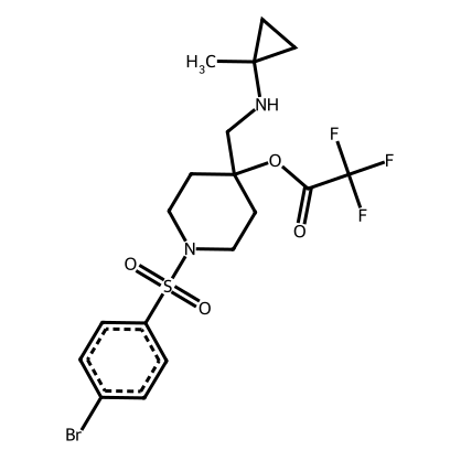 CC1(NCC2(OC(=O)C(F)(F)F)CCN(S(=O)(=O)c3ccc(Br)cc3)CC2)CC1